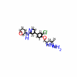 CC(COc1ccc(-c2ccnc(NC3CCCOC3)c2)cc1Cl)CC(C)NN